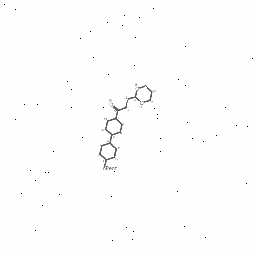 CCCCCC1CCC(C2CCC(C(=O)CCC3OCCCO3)CC2)CC1